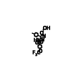 Cc1ccc(-c2c(NS(=O)(=O)c3ccc(OC(F)(F)F)cc3)ncnc2OCCO)cc1